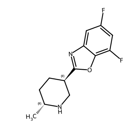 C[C@@H]1CC[C@@H](c2nc3cc(F)cc(F)c3o2)CN1